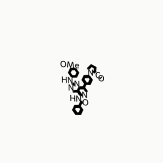 COC1CCC(Nc2ncc3c(NC(=O)c4ccccc4)ncc(-c4ccc(N5CCCC5=C=O)cc4)c3n2)CC1